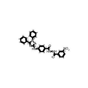 O=C(NNC(=O)c1cccc([N+](=O)[O-])c1)c1ccc(Nc2nc(-c3ccccc3)n(-c3ccccc3)n2)cc1